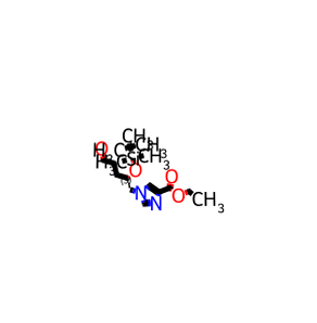 CCOC(=O)c1cn(C[C@H](CCC=O)O[Si](C)(C)C(C)(C)C)cn1